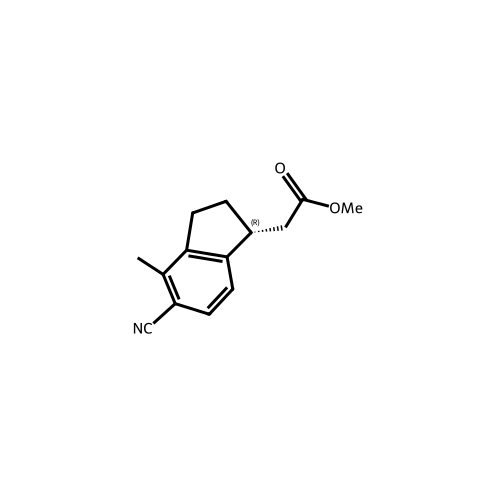 COC(=O)C[C@H]1CCc2c1ccc(C#N)c2C